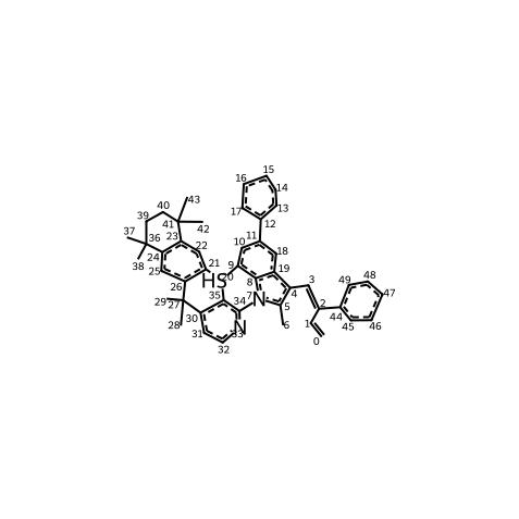 C=C/C(=C\c1c(C)n2c3c(cc(-c4ccccc4)cc13)[SH]1c3cc4c(cc3C(C)(C)c3ccnc-2c31)C(C)(C)CCC4(C)C)c1ccccc1